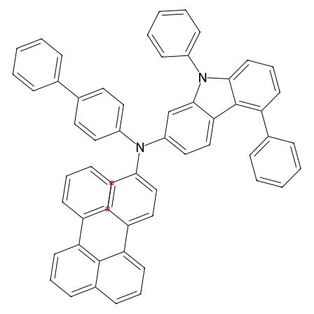 c1ccc(-c2ccc(N(c3ccc(-c4cccc5cccc(-c6ccccc6)c45)cc3)c3ccc4c5c(-c6ccccc6)cccc5n(-c5ccccc5)c4c3)cc2)cc1